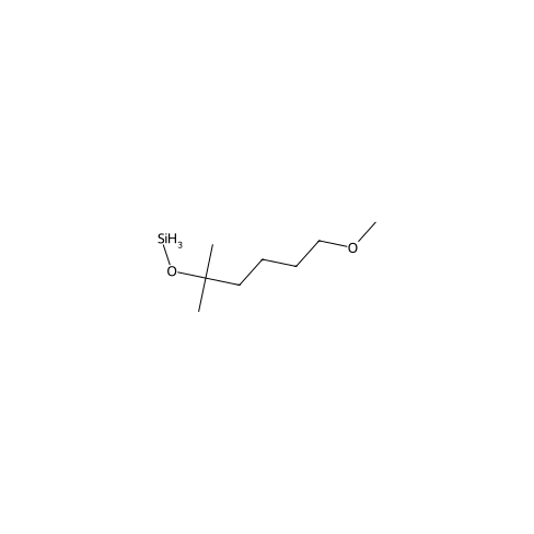 COCCCCC(C)(C)O[SiH3]